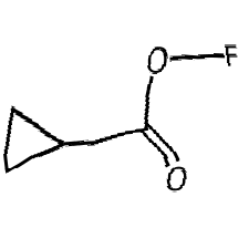 O=C(OF)C1CC1